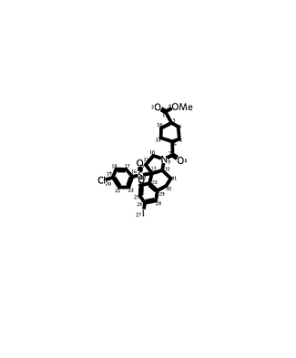 COC(=O)C1CCC(C(=O)N2CCC3(S(=O)(=O)c4ccc(Cl)cc4)c4ccc(I)cc4CCC23)CC1